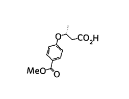 COC(=O)c1ccc(O[C@H](C)CC(=O)O)cc1